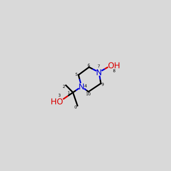 CC(C)(O)N1CCN(O)CC1